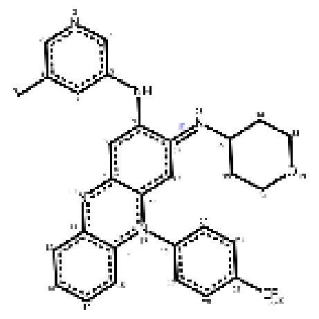 Cc1cncc(Nc2cc3nc4ccccc4n(-c4ccc(C(F)(F)F)cc4)c-3c/c2=N\C2CCOCC2)c1